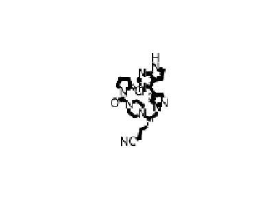 N#CCCC[C@@H](Cn1cc(-c2ncnc3[nH]ccc23)cn1)N1CCN(C(=O)N2CCC[C@H]2C(F)(F)F)CC1